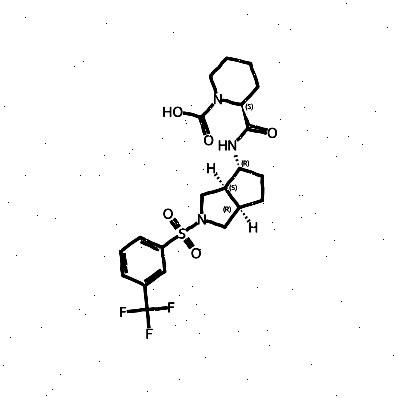 O=C(N[C@@H]1CC[C@H]2CN(S(=O)(=O)c3cccc(C(F)(F)F)c3)C[C@H]21)[C@@H]1CCCCN1C(=O)O